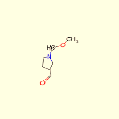 COBN1CCC(C=O)C1